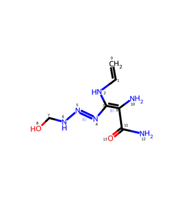 C=CNC(/N=N/NCO)=C(\N)C(N)=O